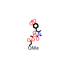 COCCC(=O)OC(C)OC(=O)N(C)C(C)C(=O)c1ccc2c(c1)OCO2